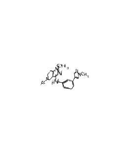 CC(=O)N1CCc2c(c(Nc3cccc(-c4cnn(C)c4)c3)nn2C)C1